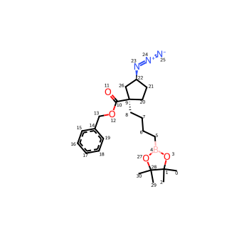 CC1(C)OB(CCCC[C@@]2(C(=O)OCc3ccccc3)CC[C@H](N=[N+]=[N-])C2)OC1(C)C